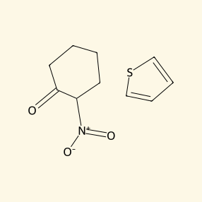 O=C1CCCCC1[N+](=O)[O-].c1ccsc1